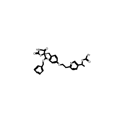 CC(C)C(=O)OC(C)c1ccc(CCOc2ccc(C[C@@]3(C(=O)OCc4ccccc4)SC(=O)NC3=O)cc2)nc1